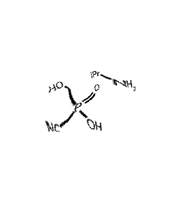 CC(C)N.N#CP(=O)(O)O